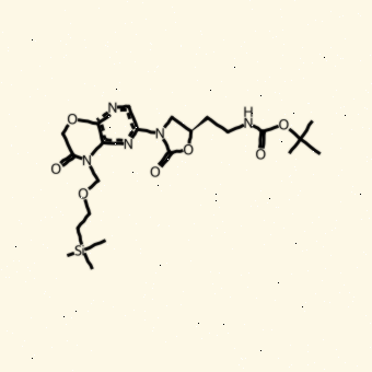 CC(C)(C)OC(=O)NCC[C@@H]1CN(c2cnc3c(n2)N(COCC[Si](C)(C)C)C(=O)CO3)C(=O)O1